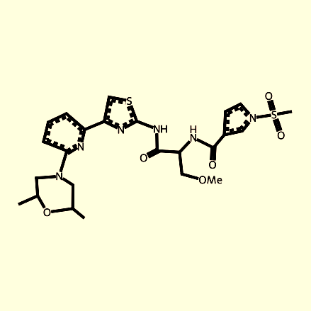 COCC(NC(=O)c1ccn(S(C)(=O)=O)c1)C(=O)Nc1nc(-c2cccc(N3CC(C)OC(C)C3)n2)cs1